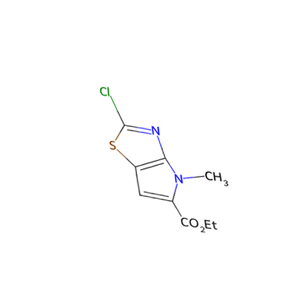 CCOC(=O)c1cc2sc(Cl)nc2n1C